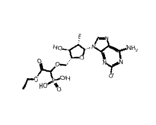 CCOC(=O)C(OC[C@H]1O[C@@H](n2cnc3c(N)nc(Cl)nc32)[C@@H](F)[C@@H]1O)P(=O)(O)O